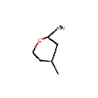 CCCCC1C[C](C)CCO1